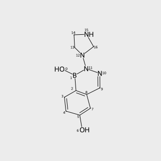 OB1c2ccc(O)cc2C=NN1N1CCNC1